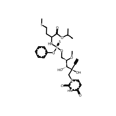 C#C[C@](O)(Cn1ccc(=O)[nH]c1=O)[C@H](O)[C@@H](COP(=S)(NC(CCSC)C(=O)OC(C)C)Oc1ccccc1)OC